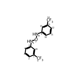 FC(F)(F)c1cccc(NONc2cccc(C(F)(F)F)c2)c1